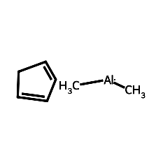 C1=CCC=C1.[CH3][Al][CH3]